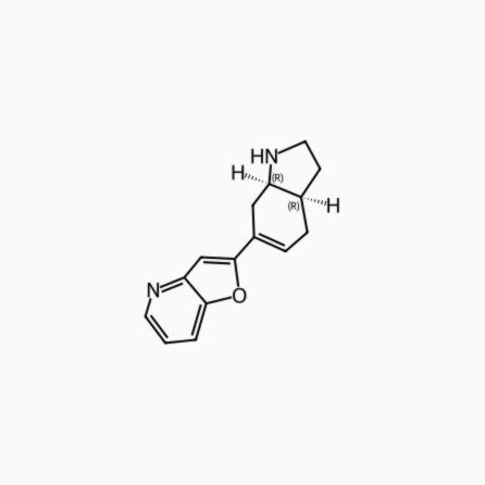 C1=C(c2cc3ncccc3o2)C[C@H]2NCC[C@H]2C1